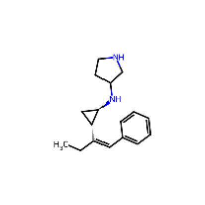 CCC(=Cc1ccccc1)[C@@H]1C[C@H]1NC1CCNC1